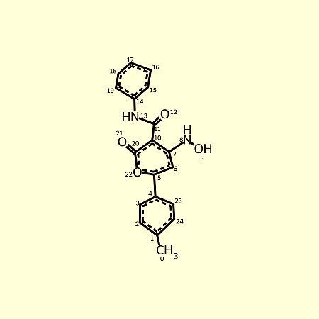 Cc1ccc(-c2cc(NO)c(C(=O)Nc3ccccc3)c(=O)o2)cc1